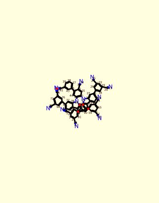 N#Cc1cc(C#N)cc(-c2ccc3c4ccc(-c5cc(C#N)cc(C#N)c5)cc4n(-c4cc(C#N)c(-c5cccc(C#N)c5)cc4-n4c5cc(-c6cc(C#N)cc(C#N)c6)ccc5c5ccc(-c6cc(C#N)cc(C#N)c6)cc54)c3c2)c1